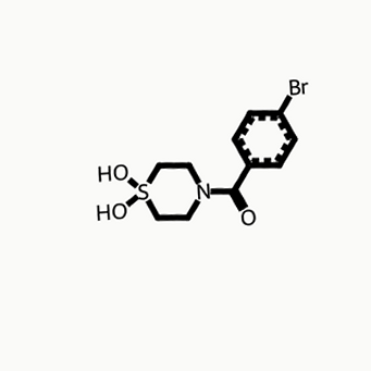 O=C(c1ccc(Br)cc1)N1CCS(O)(O)CC1